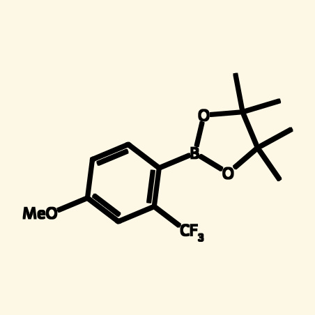 COc1ccc(B2OC(C)(C)C(C)(C)O2)c(C(F)(F)F)c1